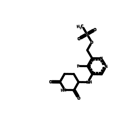 CS(=O)(=O)OCc1nncc(NC2CCC(=O)NC2=O)c1F